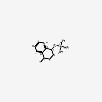 CC1CC[C@H](O[Si](C(C)C)(C(C)C)C(C)C)c2ncccc21